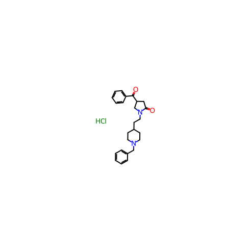 Cl.O=C(c1ccccc1)C1CC(=O)N(CCC2CCN(Cc3ccccc3)CC2)C1